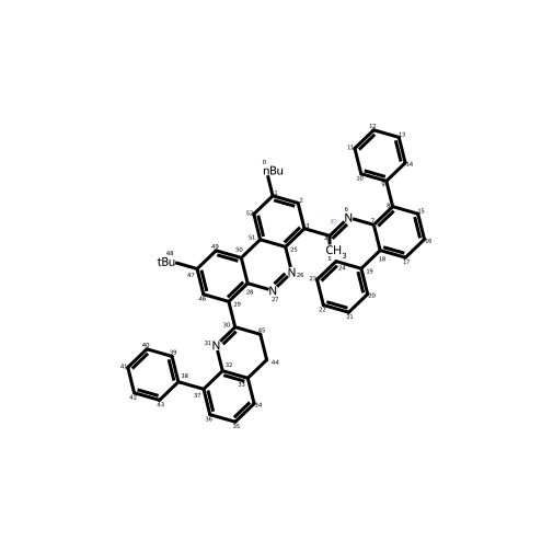 CCCCc1cc(/C(C)=N/c2c(-c3ccccc3)cccc2-c2ccccc2)c2nnc3c(C4=Nc5c(cccc5-c5ccccc5)CC4)cc(C(C)(C)C)cc3c2c1